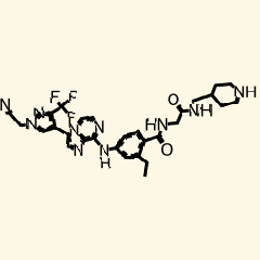 CCc1cc(Nc2nccn3c(-c4cn(CC#N)nc4C(F)(F)F)cnc23)ccc1C(=O)NCC(=O)NCC1CCNCC1